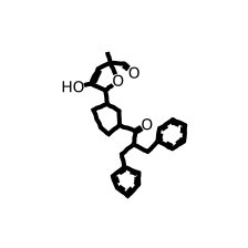 CC1(C=O)C=C(O)C(C2CCCC(C(=O)C(Cc3ccccc3)Cc3ccccc3)C2)O1